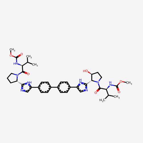 COC(=O)N[C@H](C(=O)N1CC[C@H](O)[C@H]1c1ncc(-c2ccc(-c3ccc(-c4cnc([C@@H]5CCCN5C(=O)[C@@H](NC(=O)OC)C(C)C)[nH]4)cc3)cc2)[nH]1)C(C)C